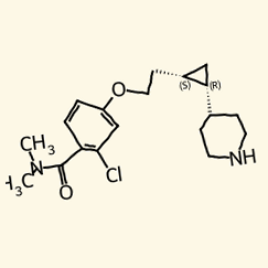 CN(C)C(=O)c1ccc(OCC[C@@H]2C[C@@H]2C2CCNCC2)cc1Cl